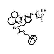 Br.NC(=N[N+](=O)[O-])Nc1ccc(CC[C@H](N[C@H]2CCCN3CCC[C@@H](C(=O)O)N3C2=O)C(=O)OCCC23CC4CC(CC(C4)C2)C3)cc1